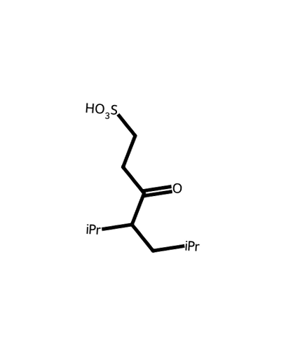 CC(C)CC(C(=O)CCS(=O)(=O)O)C(C)C